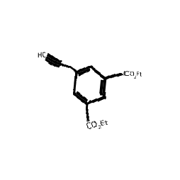 C#Cc1cc(C(=O)OCC)cc(C(=O)OCC)c1